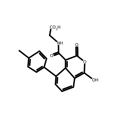 Cc1ccc(-c2cccc3c(O)oc(=O)c(C(=O)NCC(=O)O)c23)cc1